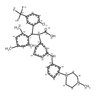 Cc1cc(C)c(C(c2cc(C(F)(F)F)ccc2Cl)N(C(=O)O)c2ccnc(Nc3cccc(N4CCN(C)CC4)c3)n2)c(C)c1